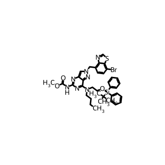 CCCCN(CCO[Si](c1ccccc1)(c1ccccc1)C(C)(C)C)c1nc(NC(=O)OC)nc2cn(Cc3ccc(Br)c4scnc34)nc12